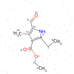 CCOC(=O)c1c(CC)[nH]c(C=O)c1C